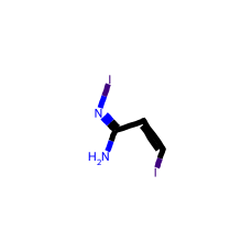 NC(/C=C\I)=N/I